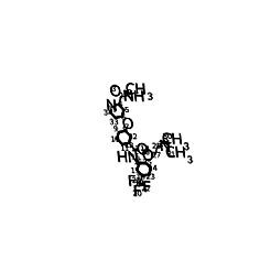 CNC(=O)c1cc(Oc2cccc(C(=O)Nc3cc(C(F)(F)F)ccc3OCCN(C)C)c2)ccn1